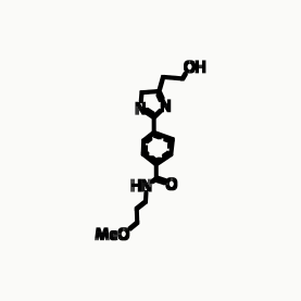 COCCCNC(=O)c1ccc(C2=NCC(CCO)=N2)cc1